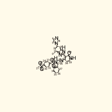 Cc1cc(-n2ccnc2)cc2[nH]c(-c3c(NC[C@@H](NS(=O)(=O)c4ccc(S(C)(=O)=O)cc4)c4ccccc4)cc[nH]c3=O)nc12